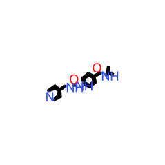 CC(C)NC(=O)c1ccc(NC(=O)NCc2ccncc2)cc1